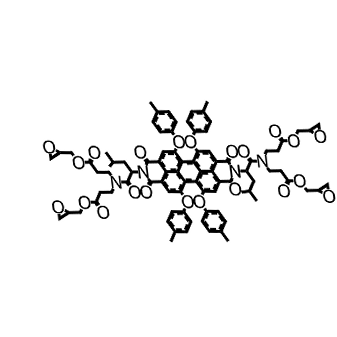 Cc1ccc(Oc2cc3c4c(cc(Oc5ccc(C)cc5)c5c6c(Oc7ccc(C)cc7)cc7c8c(cc(Oc9ccc(C)cc9)c(c2c45)c86)C(=O)N(C(CC(C)C)C(=O)N(CCC(=O)OCC2CO2)CCC(=O)OCC2CO2)C7=O)C(=O)N(C(CC(C)C)C(=O)N(CCC(=O)OCC2CO2)CCC(=O)OCC2CO2)C3=O)cc1